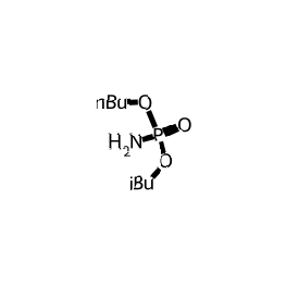 CCCCOP(N)(=O)OC(C)CC